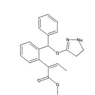 CC=C(C(=O)OC)c1ccccc1C(OC1=NNCC1)c1ccccc1